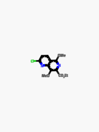 CCOC(=O)c1nc(OC)c2ccc(Cl)nc2c1OC